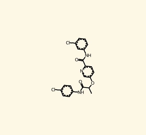 CC(Oc1ccc(C(=O)Nc2cccc(Cl)c2)nc1)C(=O)Nc1ccc(Cl)cc1